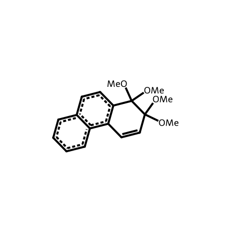 COC1(OC)C=Cc2c(ccc3ccccc23)C1(OC)OC